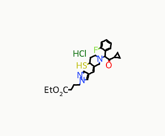 CCOC(=O)CCCn1cc(C=C2CN(C(C(=O)C3CC3)c3ccccc3F)CCC2S)cn1.Cl